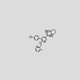 Cc1cccnc1COc1ncc(C(=O)N[C@@H]2CCCC[C@H]2O)cc1-c1ccc(Cl)cc1